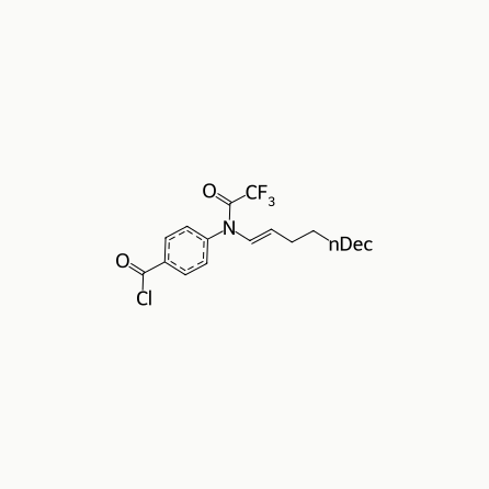 CCCCCCCCCCCCC=CN(C(=O)C(F)(F)F)c1ccc(C(=O)Cl)cc1